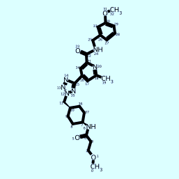 COCCC(=O)N[C@H]1CC[C@@H](Cn2nnc(-c3cc(C)nc(C(=O)NCc4cccc(OC)c4)c3)n2)CC1